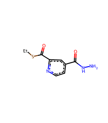 CCSC(=O)c1cc(C(=O)NN)ccn1